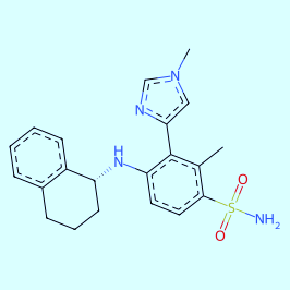 Cc1c(S(N)(=O)=O)ccc(N[C@@H]2CCCc3ccccc32)c1-c1cn(C)cn1